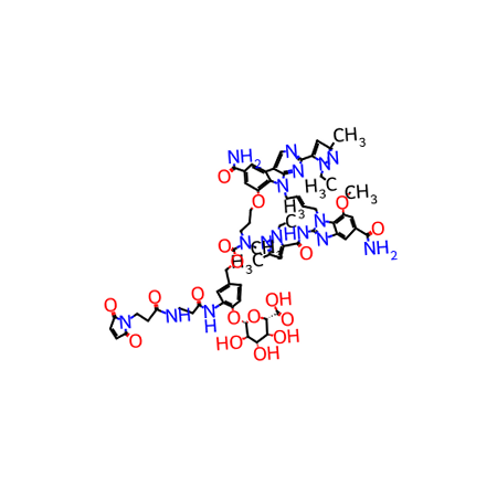 CCn1nc(C)cc1C(=O)Nc1nc2cc(C(N)=O)cc(OC)c2n1C/C=C/Cn1c2nc(-c3cc(C)nn3CC)ncc2c2cc(C(N)=O)cc(OCCCN(C)C(=O)OCc3ccc(O[C@@H]4O[C@H](C(=O)O)[C@@H](O)[C@H](O)[C@H]4O)c(NC(=O)CCNC(=O)CCN4C(=O)C=CC4=O)c3)c21